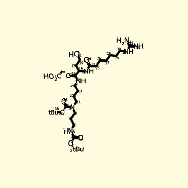 CC(=O)O.CC(C)(C)OC(=O)NCCCN(CCCCNC(=O)C(CCO)NC(=O)CCCCCCNC(=N)N)C(=O)OC(C)(C)C